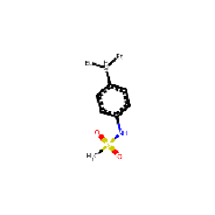 CC[SiH](CC)c1ccc(NS(C)(=O)=O)cc1